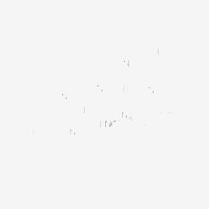 CCN=P(N=P(N(C)C)(N(C)C)N(C)C)(N(C)C)N(C)C